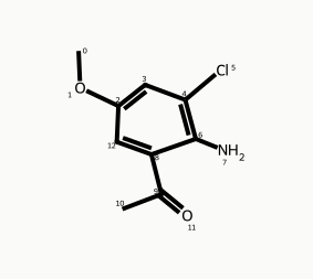 COc1cc(Cl)c(N)c(C(C)=O)c1